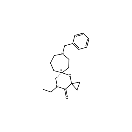 CCN1C[C@@]2(CCCN(Cc3ccccc3)CC2)OC2(CC2)C1=O